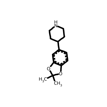 CC1(C)Oc2ccc(C3CCNCC3)cc2O1